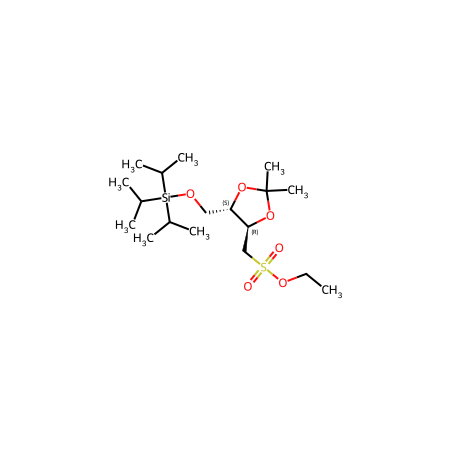 CCOS(=O)(=O)C[C@@H]1OC(C)(C)O[C@H]1CO[Si](C(C)C)(C(C)C)C(C)C